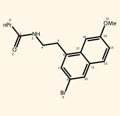 CCCC(=O)NCCc1cc(Br)cc2ccc(OC)cc12